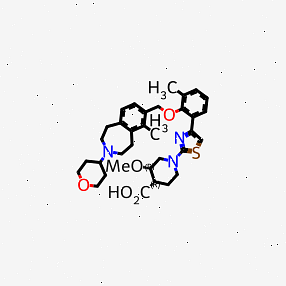 CO[C@H]1CN(c2nc(-c3cccc(C)c3OCc3ccc4c(c3C)CCN(C3CCOCC3)CC4)cs2)CC[C@H]1C(=O)O